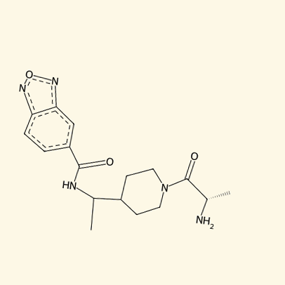 CC(NC(=O)c1ccc2nonc2c1)C1CCN(C(=O)[C@H](C)N)CC1